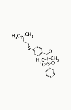 CN(C)CCSc1ccc(C(=O)C(C)(C)S(=O)(=O)c2ccccc2)cc1